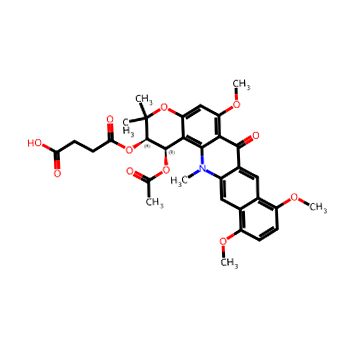 COc1ccc(OC)c2cc3c(cc12)c(=O)c1c(OC)cc2c(c1n3C)[C@@H](OC(C)=O)[C@@H](OC(=O)CCC(=O)O)C(C)(C)O2